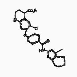 Cc1cc(NC(=O)c2ccc(Oc3cc4c(cc3Cl)C(C(=O)O)CCO4)cc2)nc2ccccc12